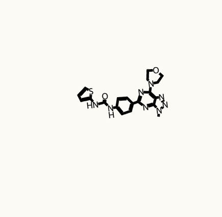 Cn1nnc2c(N3CCOCC3)nc(-c3ccc(NC(=O)Nc4cccs4)cc3)nc21